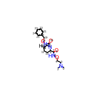 CN(C)CCONC(=O)C1CC[C@@H]2CN1C(=O)N2OCc1ccccc1